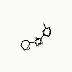 Ic1cccc(-c2nnn(C3CCCCO3)n2)c1